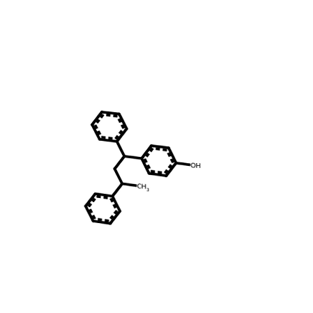 CC(CC(c1ccccc1)c1ccc(O)cc1)c1ccccc1